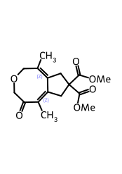 COC(=O)C1(C(=O)OC)CC2=C(\C)COCC(=O)/C(C)=C\2C1